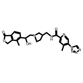 Cc1cc(C(=O)NCC2CCN(CC(O)c3ccc4c(c3C)COC4=O)C2)ncc1-n1cnnn1